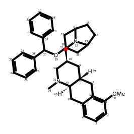 COc1cccc2c1C[C@H]1C[C@H](CN3C4CCC3CC(OC(c3ccccc3)c3ccccc3)C4)CN(C)[C@@H]1C2